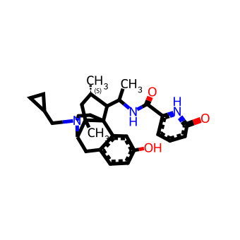 CC(NC(=O)c1cccc(=O)[nH]1)C1[C@@H](C)CC2(C)C3Cc4ccc(O)cc4C12CCN3CC1CC1